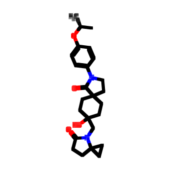 C[C@@H](Oc1ccc(N2CCC3(CCC(O)(CN4C(=O)CCC45CC5)CC3)C2=O)cc1)C(F)(F)F